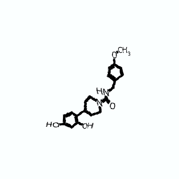 COc1ccc(CNC(=O)N2CCC(c3ccc(O)cc3O)CC2)cc1